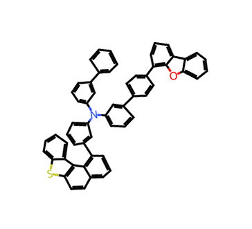 c1ccc(-c2cccc(N(c3cccc(-c4ccc(-c5cccc6c5oc5ccccc56)cc4)c3)c3cccc(-c4cccc5ccc6sc7ccccc7c6c45)c3)c2)cc1